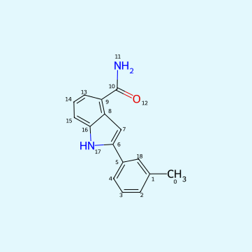 Cc1cccc(-c2cc3c(C(N)=O)cccc3[nH]2)c1